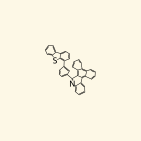 c1cc(-c2cccc3c2sc2ccccc23)cc(-c2nc3ccccc3c3c4ccccc4c4ccccc4c23)c1